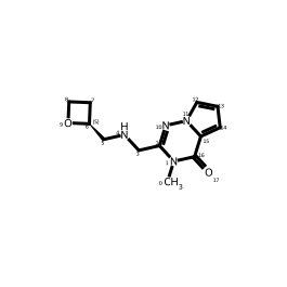 Cn1c(CNC[C@@H]2CCO2)nn2cccc2c1=O